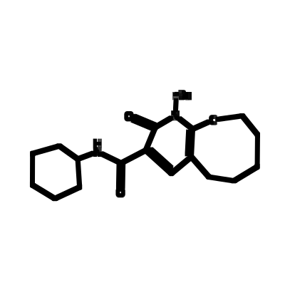 CCCCn1c2c(cc(C(=O)NC3CCCCC3)c1=O)CCCCCC2